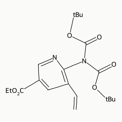 C=Cc1cc(C(=O)OCC)cnc1N(C(=O)OC(C)(C)C)C(=O)OC(C)(C)C